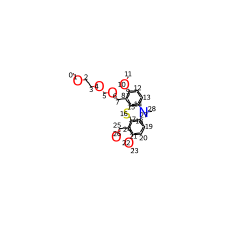 COCCOCOCc1c(OC)ccc2c1Sc1c(ccc(OC)c1C=O)N2C